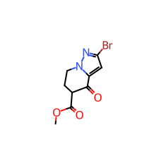 COC(=O)C1CCn2nc(Br)cc2C1=O